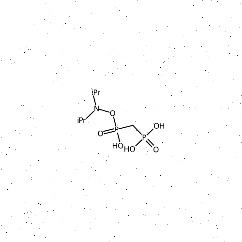 CC(C)N(OP(=O)(O)CP(=O)(O)O)C(C)C